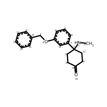 CNC1(c2cccc(OCc3ccccc3)c2)CCC(=O)CC1